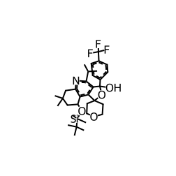 CC(C)c1nc2c(c3c1C(O)(c1ccc(C(F)(F)F)cc1)OC31CCOCC1)C(O[Si](C)(C)C(C)(C)C)CC(C)(C)C2